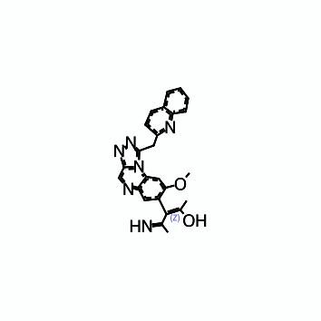 COc1cc2c(cc1/C(C(C)=N)=C(\C)O)ncc1nnc(Cc3ccc4ccccc4n3)n12